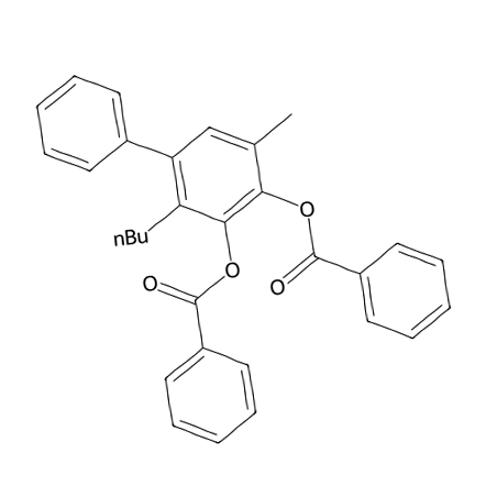 CCCCc1c(-c2ccccc2)cc(C)c(OC(=O)c2ccccc2)c1OC(=O)c1ccccc1